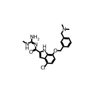 CNC(N)=NC(=O)c1cc2c(Cl)ccc(OCc3cccc(CN(C)C)c3)c2[nH]1